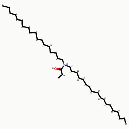 CCCCCCCCCCCCCCCCCCN(CCCCCCCCCCCCCCCCCC)C(=O)CC